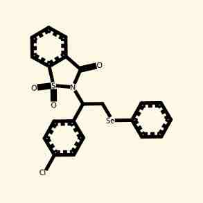 O=C1c2ccccc2S(=O)(=O)N1C(C[Se]c1ccccc1)c1ccc(Cl)cc1